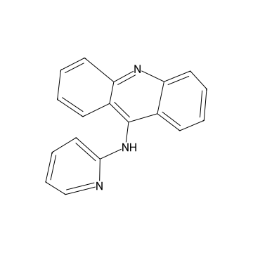 c1ccc(Nc2c3ccccc3nc3ccccc23)nc1